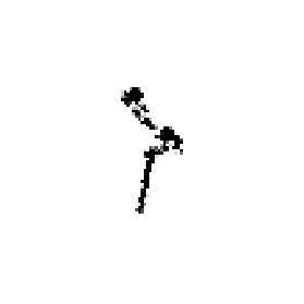 CCCCCCCCCCCCCC(C)OC(=O)NCn1c(=O)ccc2ccc(OCCCCN3CCN(c4cccc5sccc45)CC3)cc21